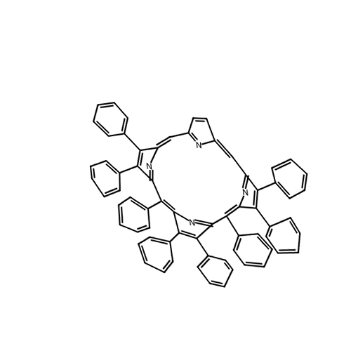 C1=CC2=NC1=CC1=NC(=C(c3ccccc3)C3=NC(=C(c4ccccc4)C4=NC(=C2)C(c2ccccc2)=C4c2ccccc2)C(c2ccccc2)=C3c2ccccc2)C(c2ccccc2)=C1c1ccccc1